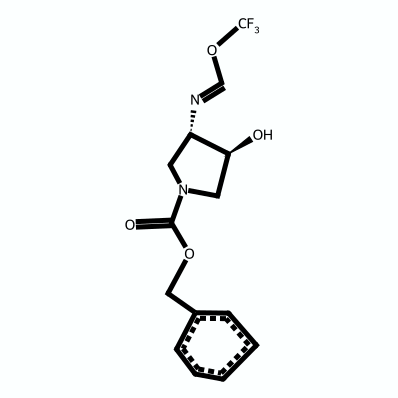 O=C(OCc1ccccc1)N1C[C@H](/N=C/OC(F)(F)F)[C@@H](O)C1